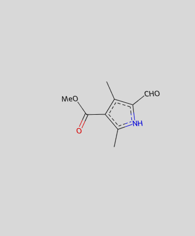 COC(=O)c1c(C)[nH]c(C=O)c1C